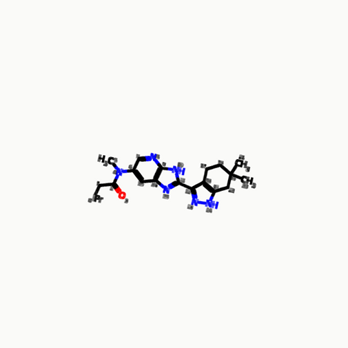 CC(C)CC(=O)N(C)c1cnc2[nH]c(-c3n[nH]c4c3CCC(C)(C)C4)nc2c1